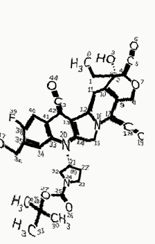 CC[C@@]1(O)C(=C=O)OCC2=C1C=C1C3=C(CN1C2=C=O)N([C@@H]1CCN(C(=O)OC(C)(C)C)C1)c1cc(CO)c(F)cc1C3=C=O